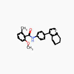 COc1cccc(C)c1C(=O)Nc1ccc(-c2cccc3c2C=CCC3)cc1